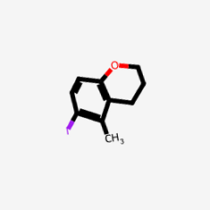 Cc1c(I)ccc2c1CCCO2